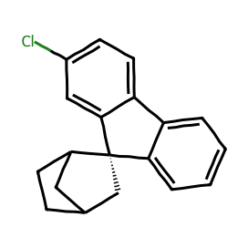 Clc1ccc2c(c1)[C@@]1(CC3CCC1C3)c1ccccc1-2